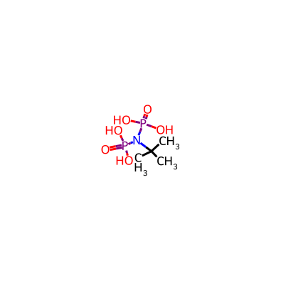 CC(C)(C)N(P(=O)(O)O)P(=O)(O)O